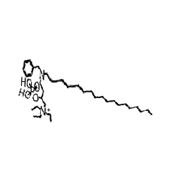 CCCCCCCCCCCCCCCCCCN(CCC(C[N+](CC)(CC)CC)OP(=O)(O)O)Cc1ccccc1